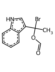 CC(Br)(OC=O)c1c[nH]c2ccccc12